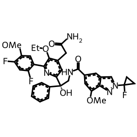 CCOc1c(CC(N)=O)cc([C@@](O)(CNC(=O)c2cc(OC)c3nn(C4(F)CC4)cc3c2)c2ccccc2)nc1-c1cc(OC)c(F)cc1F